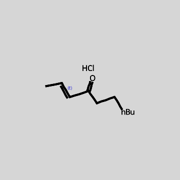 C/C=C/C(=O)CCCCCC.Cl